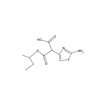 CCC(C)OC(=O)C(C(=O)O)c1csc(N)n1